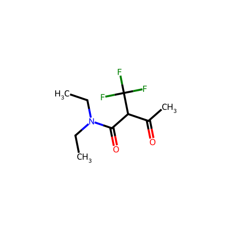 CCN(CC)C(=O)C(C(C)=O)C(F)(F)F